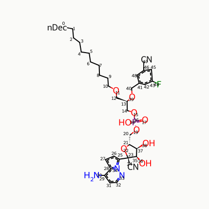 CCCCCCCCCCCCCCCCCCCCOC[C@H](COP(=O)(O)OC[C@H]1O[C@@](C#N)(c2ccc3c(N)ccnn23)[C@H](O)[C@@H]1O)OCc1cc(F)cc(C#N)c1